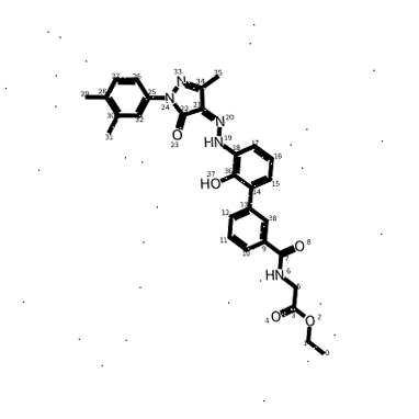 CCOC(=O)CNC(=O)c1cccc(-c2cccc(NN=C3C(=O)N(c4ccc(C)c(C)c4)N=C3C)c2O)c1